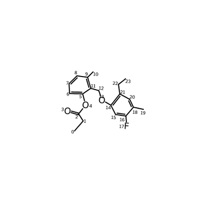 CCC(=O)Oc1cccc(C)c1COc1cc(F)c(C)cc1CC